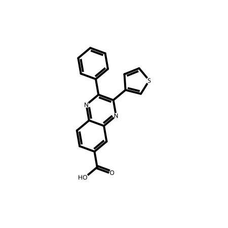 O=C(O)c1ccc2nc(-c3ccccc3)c(-c3ccsc3)nc2c1